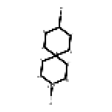 IC1CCC2(CC1)CCN(I)CC2